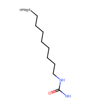 CCCCCCCCCCCCCCCNC([NH])=O